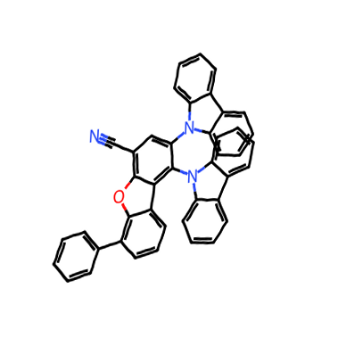 N#Cc1cc(-n2c3ccccc3c3ccccc32)c(-n2c3ccccc3c3ccccc32)c2c1oc1c(-c3ccccc3)cccc12